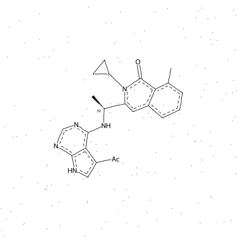 CC(=O)c1c[nH]c2ncnc(N[C@@H](C)c3cc4cccc(C)c4c(=O)n3C3CC3)c12